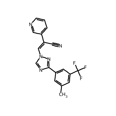 Cc1cc(-c2ncn(C=C(C#N)c3cccnc3)n2)cc(C(F)(F)F)c1